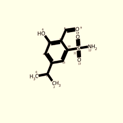 CC(C)c1cc(O)c(C=O)c(S(N)(=O)=O)c1